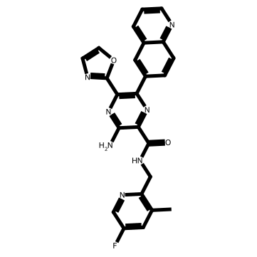 Cc1cc(F)cnc1CNC(=O)c1nc(-c2ccc3ncccc3c2)c(-c2ncco2)nc1N